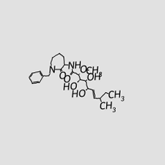 CCC(C)/C=C/[C@@H](O)[C@H](O)[C@@H](O)[C@@H](OC)C(=O)NC1CCCCN(Cc2ccccc2)C1=O